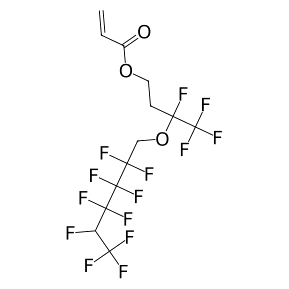 C=CC(=O)OCCC(F)(OCC(F)(F)C(F)(F)C(F)(F)C(F)C(F)(F)F)C(F)(F)F